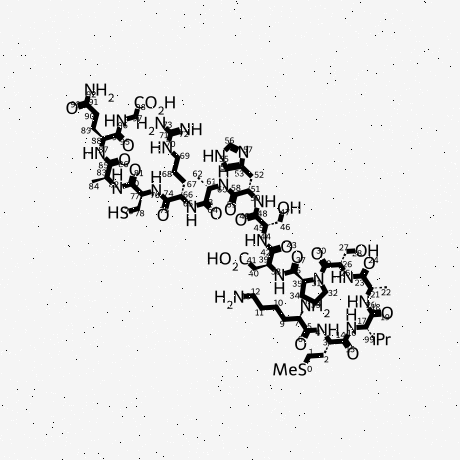 CSCC[C@H](NC(=O)[C@@H](N)CCCCN)C(=O)N[C@H](C(=O)N[C@@H](C)C(=O)N[C@@H](CO)C(=O)N1CCC[C@H]1C(=O)N[C@@H](CC(=O)O)C(=O)N[C@@H](CO)C(=O)N[C@@H](Cc1c[nH]cn1)C(=O)N[C@@H](C)C(=O)N[C@@H](CCCNC(=N)N)C(=O)N[C@@H](CS)C(=O)N[C@@H](C)C(=O)N[C@@H](CCC(N)=O)C(=O)NCC(=O)O)C(C)C